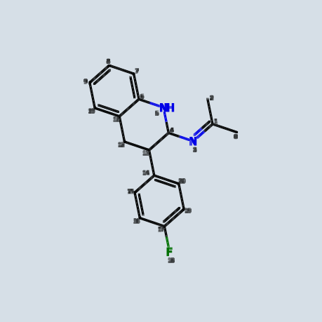 CC(C)=NC1Nc2ccccc2CC1c1ccc(F)cc1